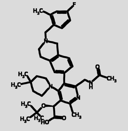 CC(=O)NCc1nc(C)c([C@H](OC(C)(C)C)C(=O)O)c(N2CCC(C)(C)CC2)c1-c1ccc2c(c1)CCN(Cc1ccc(F)cc1C)C2